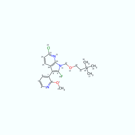 COc1ncccc1-c1c(F)n(COCC[Si](C)(C)C)c2nc(Cl)ccc12